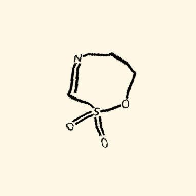 O=S1(=O)C=NCCO1